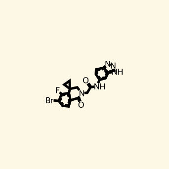 O=C(CN1CC2(CC2)c2c(ccc(Br)c2F)C1=O)Nc1ccc2nn[nH]c2c1